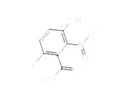 O=C(O)c1c(F)ccc(O)c1[N+](=O)[O-]